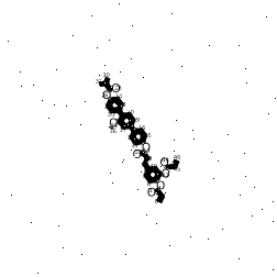 C=CC(=O)Oc1ccc(CCC(=O)Oc2ccc(-c3ccc(-c4ccc(OC(=O)C(C)C)cc4)c(OC)c3)cc2)cc1OC(=O)C=C